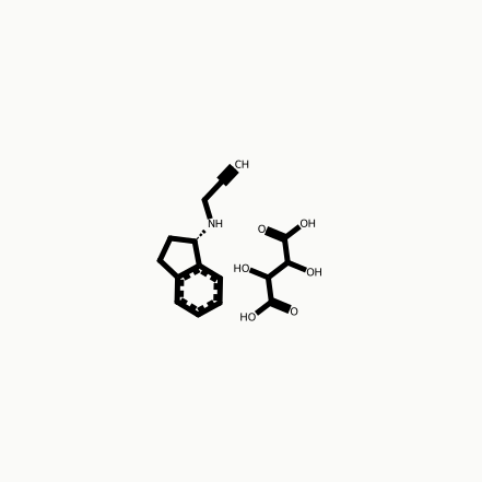 C#CCN[C@H]1CCc2ccccc21.O=C(O)C(O)C(O)C(=O)O